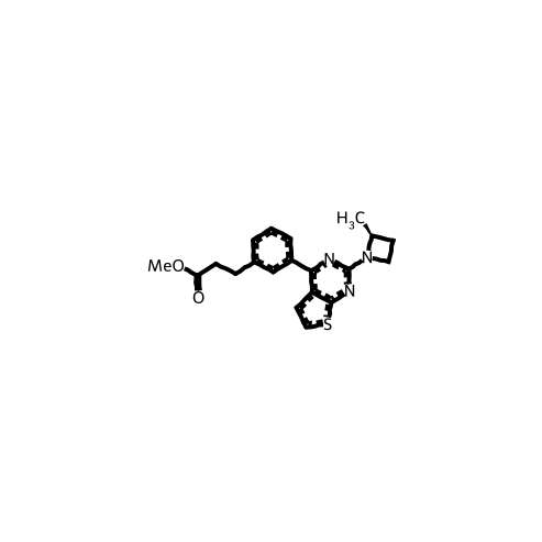 COC(=O)CCc1cccc(-c2nc(N3CC[C@@H]3C)nc3sccc23)c1